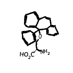 N[C@@H](COC1(c2ccccc2)c2ccccc2C=Cc2ccccc21)C(=O)O